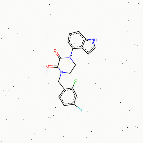 O=C1C(=O)N(c2cccc3[nH]ccc23)CCN1Cc1ccc(F)cc1Cl